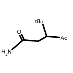 CC(=O)C(CC(N)=O)C(C)(C)C